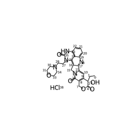 CC[C@@]1(O)C(=O)OCc2c1cc1n(c2=O)Cc2c-1nc1cccc3c1c2N(CCN1CCOCC1)C(=O)N3.Cl